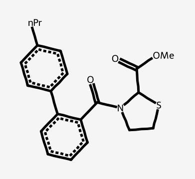 CCCc1ccc(-c2ccccc2C(=O)N2CCSC2C(=O)OC)cc1